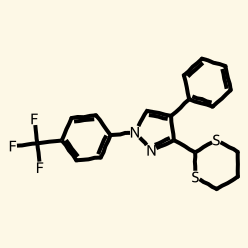 FC(F)(F)c1ccc(-n2cc(-c3ccccc3)c(C3SCCCS3)n2)cc1